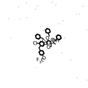 CC(O)[C@@]12CO[C@@](c3ccc(Cl)c(Cc4ccc(OC(F)(F)F)cc4)c3)(O1)[C@H](OCc1ccccc1)[C@@H](OCc1ccccc1)[C@H]2OCc1ccccc1